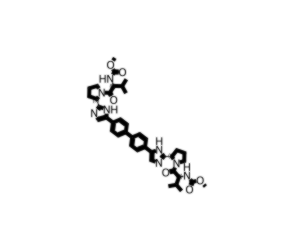 COC(=O)N[C@@H](C(=O)N1CCC[C@H]1c1ncc(-c2ccc(-c3ccc(-c4cnc([C@@H]5CCCN5C(=O)[C@H](NC(=O)OC)C(C)C)[nH]4)cc3)cc2)[nH]1)C(C)C